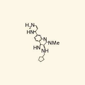 CNC1=Nc2cc(C(=N)/C=C\N)ccc2C(=N)/C1=C\NCC1CCCC1